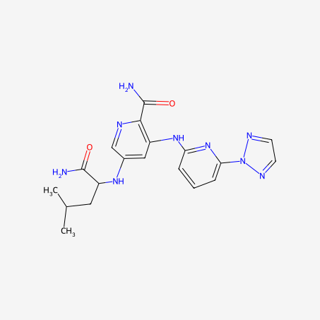 CC(C)CC(Nc1cnc(C(N)=O)c(Nc2cccc(-n3nccn3)n2)c1)C(N)=O